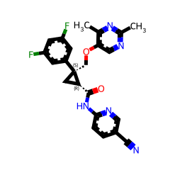 Cc1ncc(OC[C@@]2(c3cc(F)cc(F)c3)C[C@H]2C(=O)Nc2ccc(C#N)cn2)c(C)n1